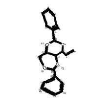 C=CC1OC(c2ccccc2)OC2COC(c3ccccc3)OC12